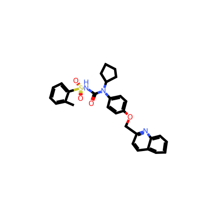 Cc1ccccc1S(=O)(=O)NC(=O)N(c1ccc(OCc2ccc3ccccc3n2)cc1)C1CCCC1